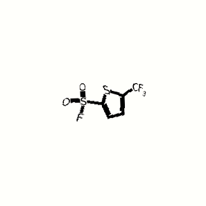 O=S(=O)(F)c1ccc(C(F)(F)F)s1